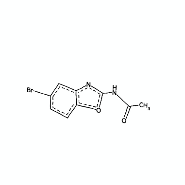 CC(=O)Nc1nc2cc(Br)ccc2o1